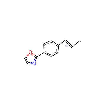 [CH2]/C=C/c1ccc(-c2ncco2)cc1